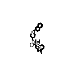 O=C(NCC1CCN(Cc2ccc3ccccc3c2)CC1)C1=Cc2cnc3cccc(n23)S1